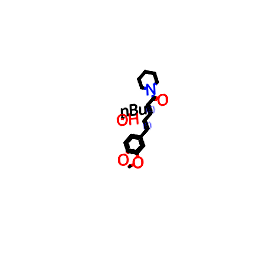 CCCCO.O=C(/C=C/C=C/c1ccc2c(c1)OCO2)N1CCCCC1